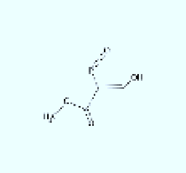 COC(=O)C(=CO)P=O